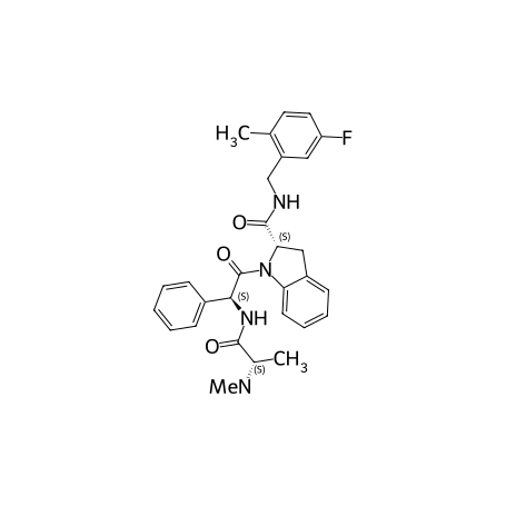 CN[C@@H](C)C(=O)N[C@H](C(=O)N1c2ccccc2C[C@H]1C(=O)NCc1cc(F)ccc1C)c1ccccc1